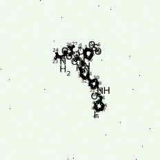 COc1cc(S(C)(=O)=O)ccc1N(C(=O)OC(OC(=O)C(N)C(C)C)C(C)C)c1nc2ccc(-c3ccc(NC(=O)Cc4ccc(F)cc4)cc3)cn2n1